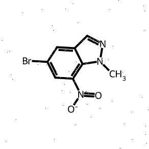 Cn1ncc2cc(Br)cc([N+](=O)[O-])c21